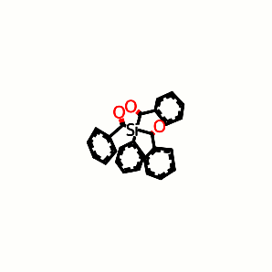 O=C(c1ccccc1)[Si](C(=O)c1ccccc1)(C(=O)c1ccccc1)c1ccccc1